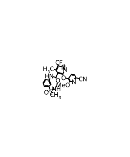 COc1nc(C#N)ccc1Oc1nnc(C(F)(F)F)c(C)c1C(=O)Nc1cccc(S(C)(=N)=O)c1